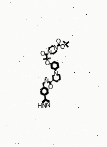 CN(Cc1ccc(-c2cn[nH]c2)cc1)C(=O)[C@@H]1CCCN(c2cccc(OC(C)(C)C(=O)N3CCN(C(=O)OC(C)(C)C)CC3)c2)C1